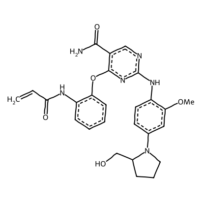 C=CC(=O)Nc1ccccc1Oc1nc(Nc2ccc(N3CCCC3CO)cc2OC)ncc1C(N)=O